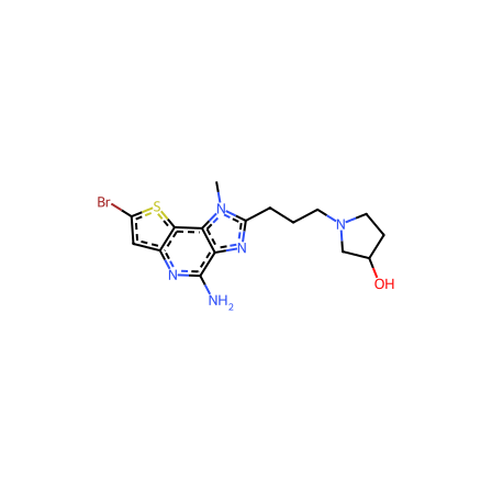 Cn1c(CCCN2CCC(O)C2)nc2c(N)nc3cc(Br)sc3c21